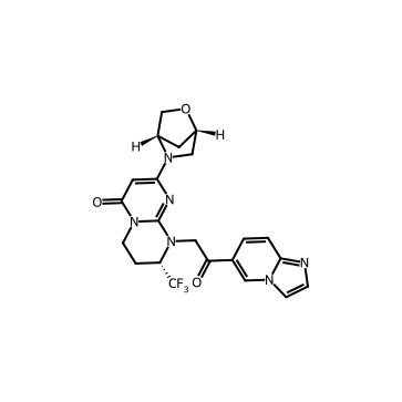 O=C(CN1c2nc(N3C[C@@H]4C[C@H]3CO4)cc(=O)n2CC[C@H]1C(F)(F)F)c1ccc2nccn2c1